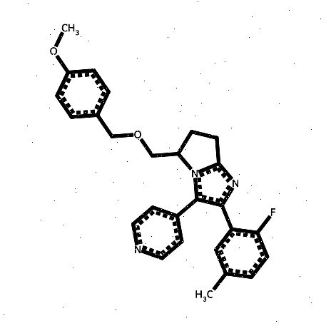 COc1ccc(COCC2CCc3nc(-c4cc(C)ccc4F)c(-c4ccncc4)n32)cc1